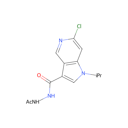 CC(=O)NNC(=O)c1cn(C(C)C)c2cc(Cl)ncc12